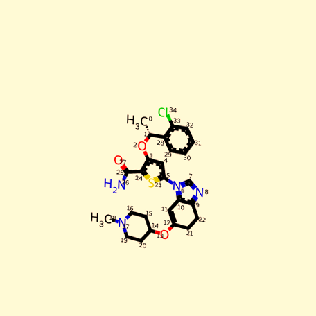 C[C@@H](Oc1cc(-n2cnc3c2C=C(OC2CCN(C)CC2)CC3)sc1C(N)=O)c1ccccc1Cl